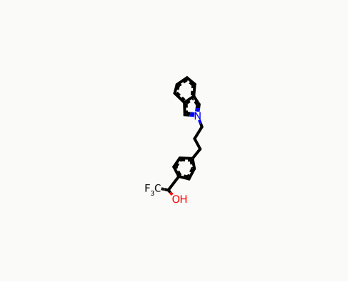 OC(c1ccc(CCCn2cc3ccccc3c2)cc1)C(F)(F)F